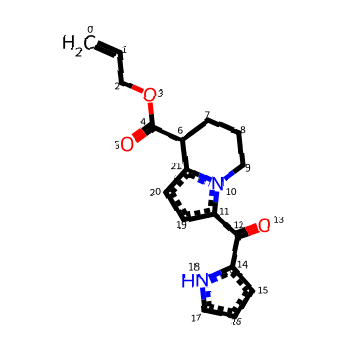 C=CCOC(=O)C1CCCn2c(C(=O)c3ccc[nH]3)ccc21